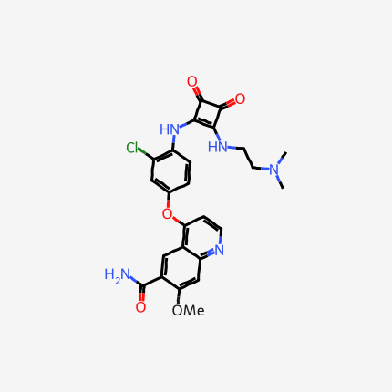 COc1cc2nccc(Oc3ccc(Nc4c(NCCN(C)C)c(=O)c4=O)c(Cl)c3)c2cc1C(N)=O